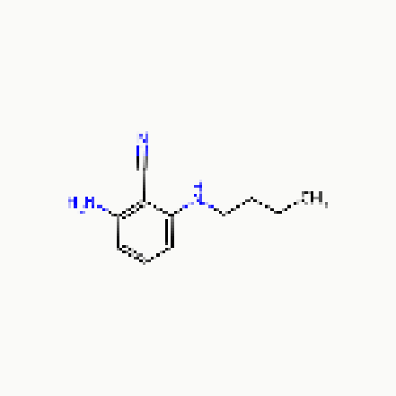 CCCCNc1cccc(N)c1C#N